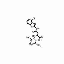 CC(C)C[C@H](NC(CC(=O)Nc1nc2c(Cl)cccc2s1)C(=O)O)C(=O)O